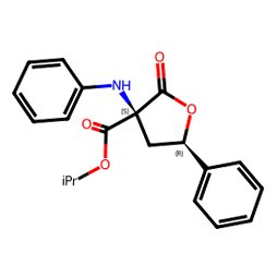 CC(C)OC(=O)[C@@]1(Nc2ccccc2)C[C@H](c2ccccc2)OC1=O